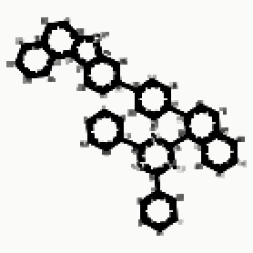 c1ccc(-c2nc(-c3ccccc3)nc(-c3c(-c4ccc(-c5ccc6c(c5)oc5ccc7ccccc7c56)cc4)ccc4ccccc34)n2)cc1